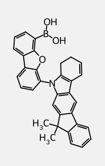 CC1(C)c2ccccc2-c2cc3c4c(n(-c5cccc6c5oc5c(B(O)O)cccc56)c3cc21)CCC=C4